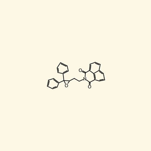 O=C1c2cccc3cccc(c23)C(=O)N1CCC1OC1(c1ccccc1)c1ccccc1